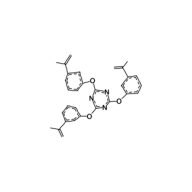 C=C(C)c1cccc(Oc2nc(Oc3cccc(C(=C)C)c3)nc(Oc3cccc(C(=C)C)c3)n2)c1